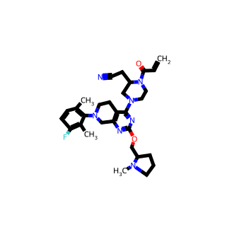 C=CC(=O)N1CCN(c2nc(OCC3CCCN3C)nc3c2CCN(c2c(C)ccc(F)c2C)C3)CC1CC#N